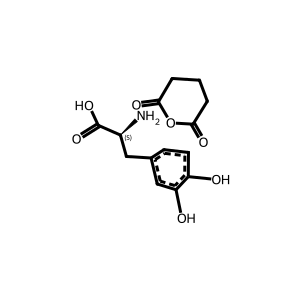 N[C@@H](Cc1ccc(O)c(O)c1)C(=O)O.O=C1CCCC(=O)O1